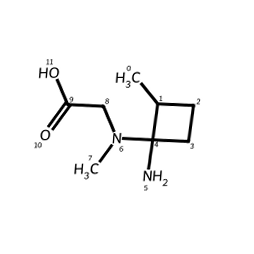 CC1CCC1(N)N(C)CC(=O)O